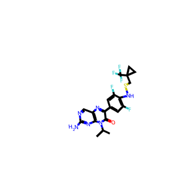 CC(C)n1c(=O)c(-c2cc(F)c(NSCC3(C(F)(F)F)CC3)c(F)c2)nc2cnc(N)nc21